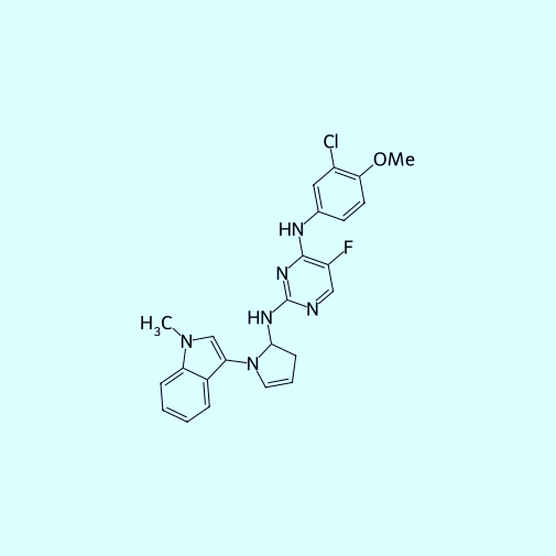 COc1ccc(Nc2nc(NC3CC=CN3c3cn(C)c4ccccc34)ncc2F)cc1Cl